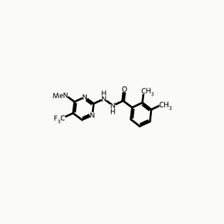 CNc1nc(NNC(=O)c2cccc(C)c2C)ncc1C(F)(F)F